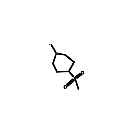 [CH2]N1CCC(S(C)(=O)=O)CC1